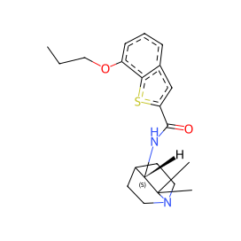 CCCOc1cccc2cc(C(=O)N[C@H]3C4CCN(CC4)C3(C)C)sc12